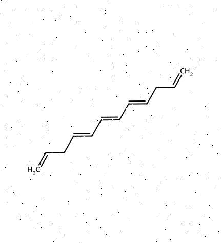 C=CC/[C]=C/C=C/C=C/CC=C